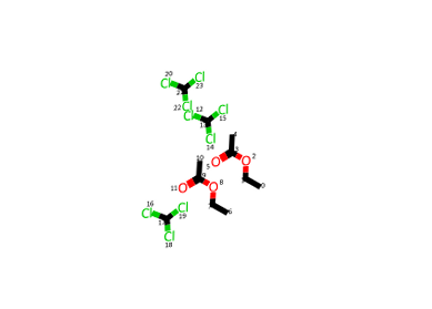 CCOC(C)=O.CCOC(C)=O.ClC(Cl)Cl.ClC(Cl)Cl.ClC(Cl)Cl